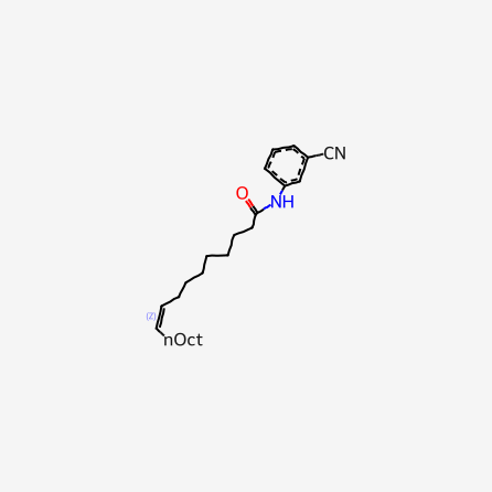 CCCCCCCC/C=C\CCCCCCCC(=O)Nc1cccc(C#N)c1